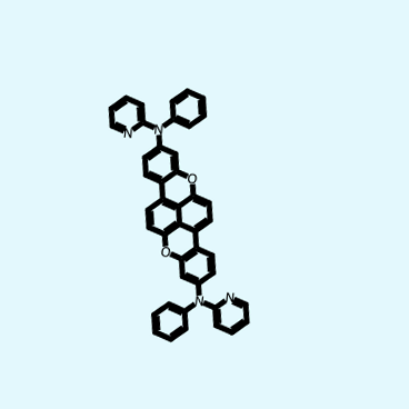 c1ccc(N(c2ccc3c(c2)Oc2ccc4c5c(ccc-3c25)Oc2cc(N(c3ccccc3)c3ccccn3)ccc2-4)c2ccccn2)cc1